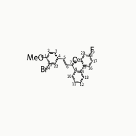 COc1ccc(/C=C/C(=O)c2ccccc2-c2ccc(F)cc2)cc1Br